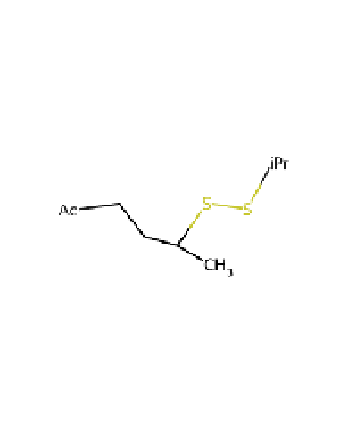 CC(=O)CCC(C)SSC(C)C